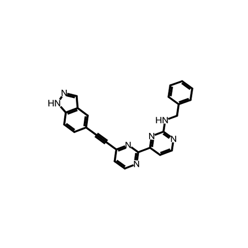 C(#Cc1ccnc(-c2ccnc(NCc3ccccc3)n2)n1)c1ccc2[nH]ncc2c1